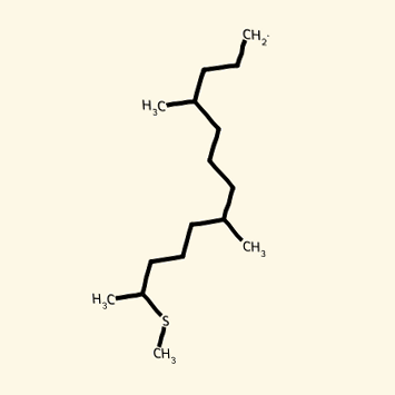 [CH2]CCC(C)CCCC(C)CCCC(C)SC